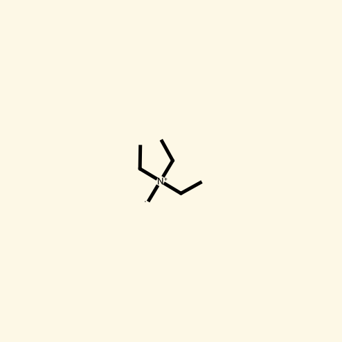 [CH2][N+](CC)(CC)CC